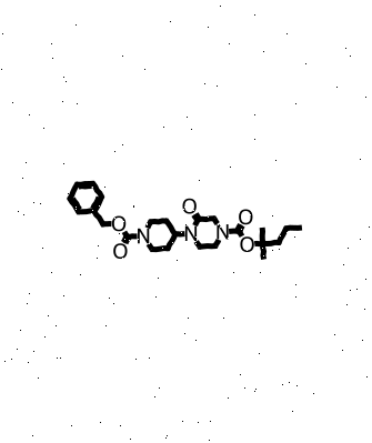 CCCC(C)(C)OC(=O)N1CCN(C2CCN(C(=O)OCc3ccccc3)CC2)C(=O)C1